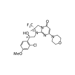 COc1ccc([C@@H](O)CN2c3nc(N4CCOCC4)cc(=O)n3C[C@@]2(C)C(F)(F)F)c(Cl)c1